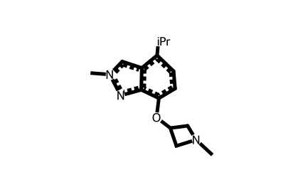 CC(C)c1ccc(OC2CN(C)C2)c2nn(C)cc12